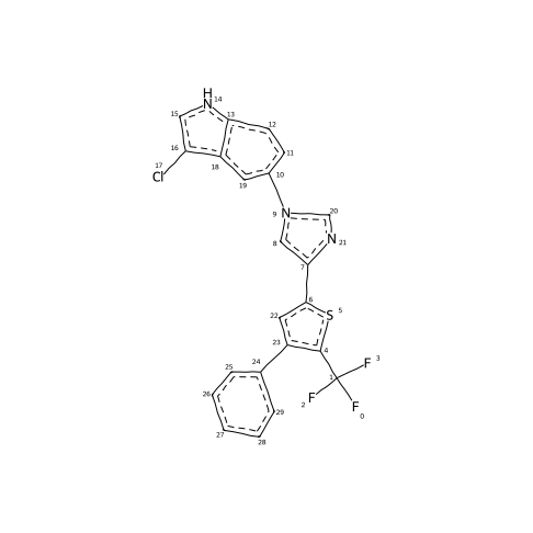 FC(F)(F)c1sc(-c2cn(-c3ccc4[nH]cc(Cl)c4c3)cn2)cc1-c1ccccc1